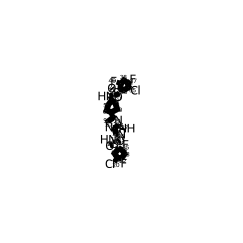 O=S(=O)(Nc1ccc(-c2cnc3c(NS(=O)(=O)c4cc(Cl)c(F)cc4F)n[nH]c3n2)cc1)c1cc(Cl)c(F)cc1F